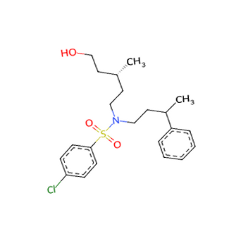 CC(CCN(CC[C@@H](C)CCO)S(=O)(=O)c1ccc(Cl)cc1)c1ccccc1